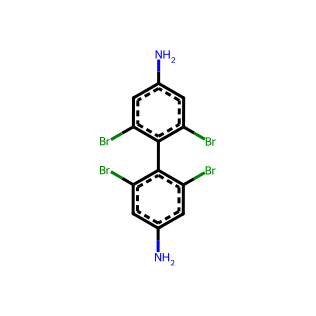 Nc1cc(Br)c(-c2c(Br)cc(N)cc2Br)c(Br)c1